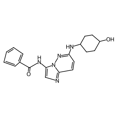 O=C(Nc1cnc2ccc(NC3CCC(O)CC3)nn12)c1ccccc1